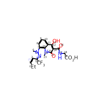 CC/C=C\C(=N/N(C)c1cccc2c(O)c(C(=O)NCC(=O)O)c(=O)n(C)c12)C(F)(F)F